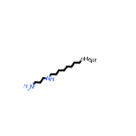 CCCCCCCCCCCCCCCNCCCN